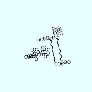 CCCCCCCC/C=C\CCCCCCCC(=O)[O-].CCCCCCCC/C=C\CCCCCCCC(=O)[O-].[Cd+2].[Cd+2].[Cd+2].[Cd+2].[Cd+2].[Cd+2].[Cd+2].[O-]C([O-])([O-])C([O-])([O-])[O-].[O-]C([O-])([O-])C([O-])([O-])[O-]